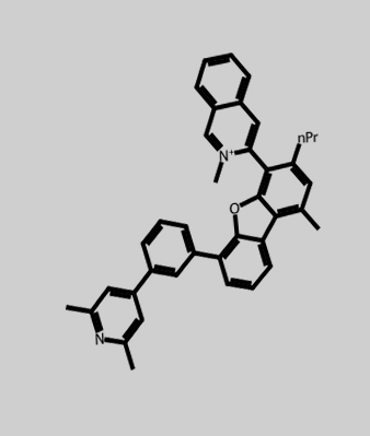 CCCc1cc(C)c2c(oc3c(-c4cccc(-c5cc(C)nc(C)c5)c4)cccc32)c1-c1cc2ccccc2c[n+]1C